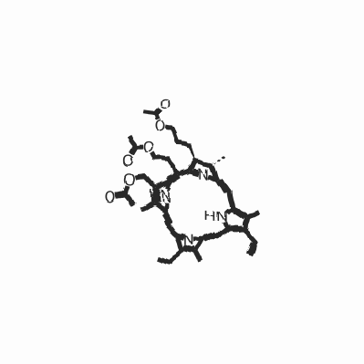 C=Cc1c(C)c2cc3nc(c(CCOC(C)=O)c4[nH]c(cc5nc(cc1[nH]2)C(C)=C5CC)c(C)c4COC(C)=O)[C@@H](CCCOC(C)=O)[C@@H]3C